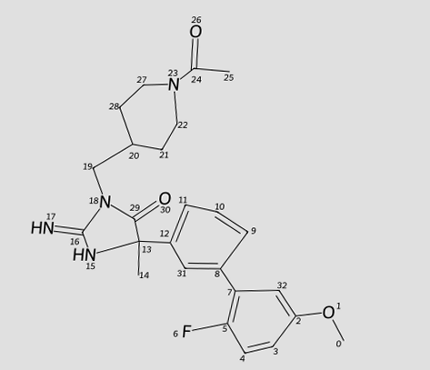 COc1ccc(F)c(-c2cccc(C3(C)NC(=N)N(CC4CCN(C(C)=O)CC4)C3=O)c2)c1